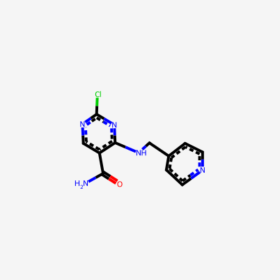 NC(=O)c1cnc(Cl)nc1NCc1ccncc1